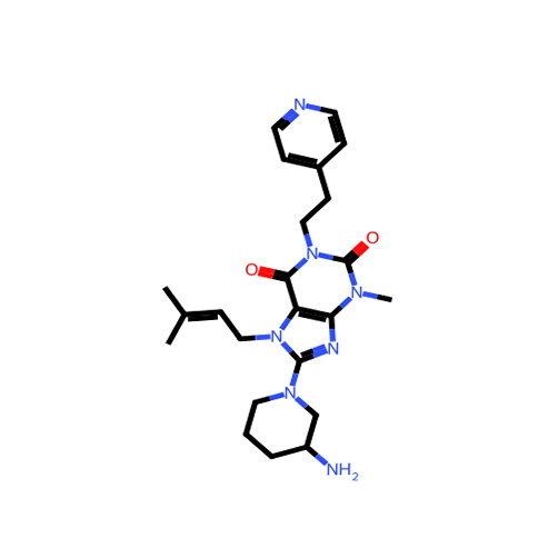 CC(C)=CCn1c(N2CCCC(N)C2)nc2c1c(=O)n(CCc1ccncc1)c(=O)n2C